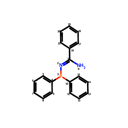 NC(=NP(c1ccccc1)c1ccccc1)c1ccccc1